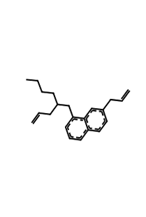 C=CCc1ccc2cccc(CC(CC=C)CCCC)c2c1